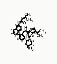 CC(C)=CC(=O)Nc1ccc2c(-c3ccccc3CNc3nc(N4CCC(N)CC4)nc4c(C(C)C)cnn34)nccc2c1